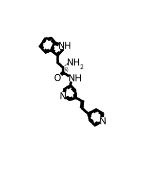 N[C@@H](Cc1c[nH]c2ccccc12)C(=O)Nc1cncc(C=Cc2ccncc2)c1